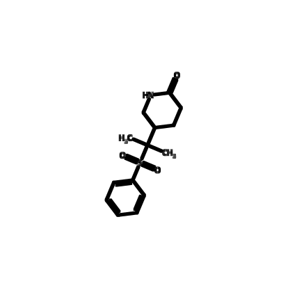 CC(C)(C1CCC(=O)NC1)S(=O)(=O)c1ccccc1